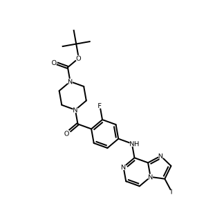 CC(C)(C)OC(=O)N1CCN(C(=O)c2ccc(Nc3nccn4c(I)cnc34)cc2F)CC1